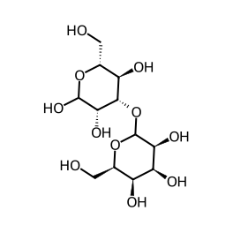 OC[C@H]1OC(O[C@H]2[C@H](O)[C@@H](CO)OC(O)[C@H]2O)[C@@H](O)[C@@H](O)[C@H]1O